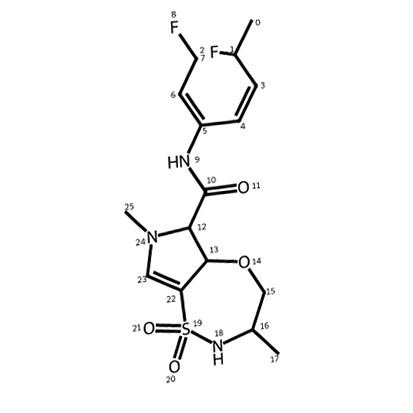 CC(F)/C=C\C(=C/CF)NC(=O)C1C2OCC(C)NS(=O)(=O)C2=CN1C